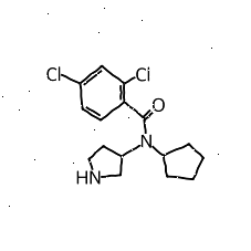 O=C(c1ccc(Cl)cc1Cl)N(C1CCCC1)C1CCNC1